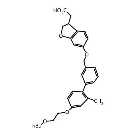 CCCCOCCOc1ccc(-c2cccc(COc3ccc4c(c3)OCC4CC(=O)O)c2)c(C)c1